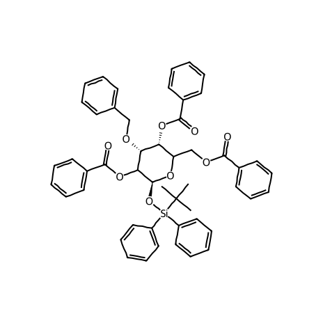 CC(C)(C)[Si](O[C@@H]1OC(COC(=O)c2ccccc2)[C@@H](OC(=O)c2ccccc2)[C@@H](OCc2ccccc2)C1OC(=O)c1ccccc1)(c1ccccc1)c1ccccc1